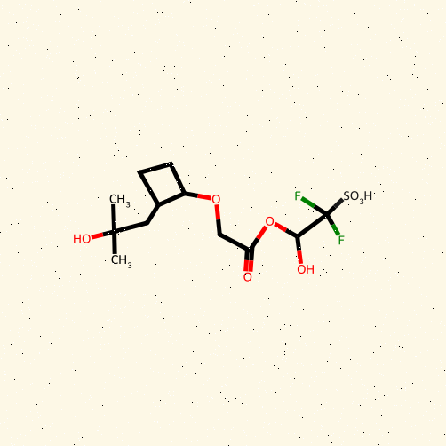 CC(C)(O)CC1CCC1OCC(=O)OC(O)C(F)(F)S(=O)(=O)O